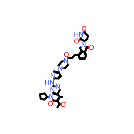 CC(=O)c1c(C)c2cnc(Nc3ccc(N4CCN(C(=O)CCc5cccc6c5CN([C@@H]5CCC(=O)NC5=O)C6=O)CC4)cn3)nc2n(C2CCCC2)c1=O